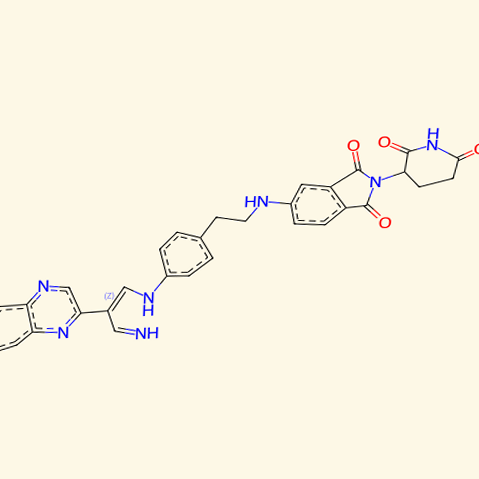 N=C/C(=C\Nc1ccc(CCNc2ccc3c(c2)C(=O)N(C2CCC(=O)NC2=O)C3=O)cc1)c1cnc2ccccc2n1